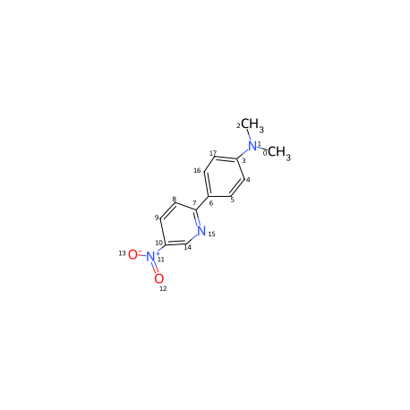 CN(C)c1ccc(-c2ccc([N+](=O)[O-])cn2)cc1